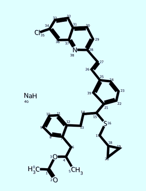 CC(=O)OC(C)Cc1ccccc1CCC(SCC1CC1)c1cccc(C=Cc2ccc3ccc(Cl)cc3n2)c1.[NaH]